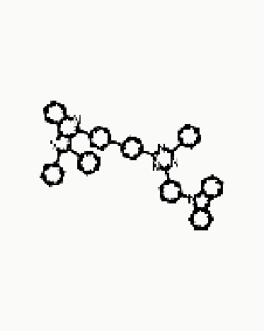 c1ccc(-c2nc(-c3ccc(-c4ccc(-c5nc6ccccc6c6sc(-c7ccccc7)c(-c7ccccc7)c56)cc4)cc3)nc(-c3cccc(-n4c5ccccc5c5ccccc54)c3)n2)cc1